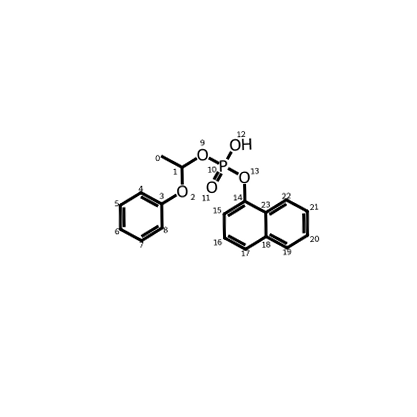 CC(Oc1ccccc1)OP(=O)(O)Oc1cccc2ccccc12